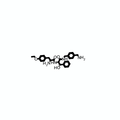 CCOc1ccc(CC(N)C(=O)N[C@@H](C(=O)NCc2ccc(CN)cc2)[C@@H](O)c2ccccc2)cc1